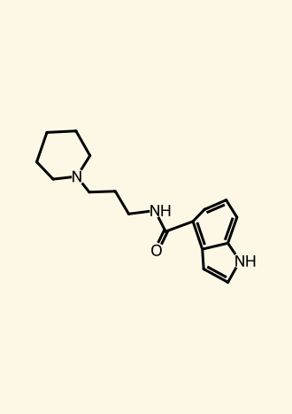 O=C(NCCCN1CCCCC1)c1cccc2[nH]ccc12